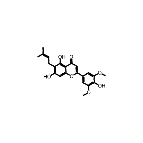 COc1cc(-c2cc(=O)c3c(O)c(CC=C(C)C)c(O)cc3o2)cc(OC)c1O